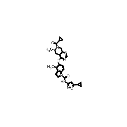 Cc1c(Oc2ncnc3c2C[C@H](C)N(C(=O)C2CC2)C3)ccc2c1ccn2C(=O)Nc1cc(C2CC2)on1